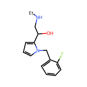 CCNCC(O)c1cccn1Cc1ccccc1F